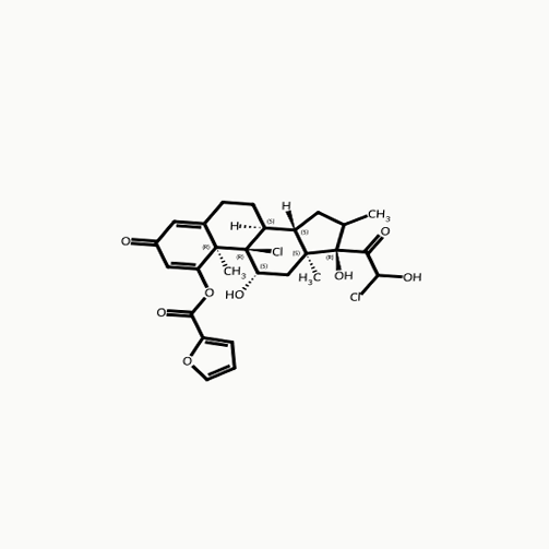 CC1C[C@H]2[C@@H]3CCC4=CC(=O)C=C(OC(=O)c5ccco5)[C@]4(C)[C@@]3(Cl)[C@@H](O)C[C@]2(C)[C@@]1(O)C(=O)C(O)Cl